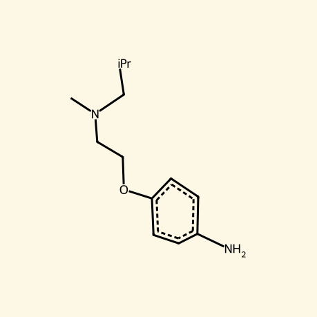 CC(C)CN(C)CCOc1ccc(N)cc1